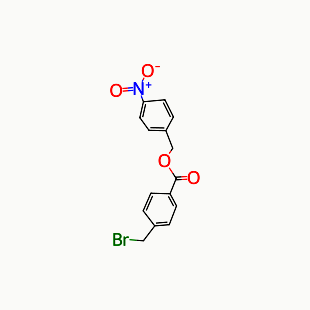 O=C(OCc1ccc([N+](=O)[O-])cc1)c1ccc(CBr)cc1